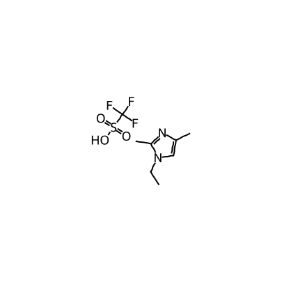 CCn1cc(C)nc1C.O=S(=O)(O)C(F)(F)F